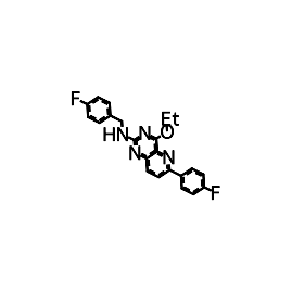 CCOc1nc(NCc2ccc(F)cc2)nc2ccc(-c3ccc(F)cc3)nc12